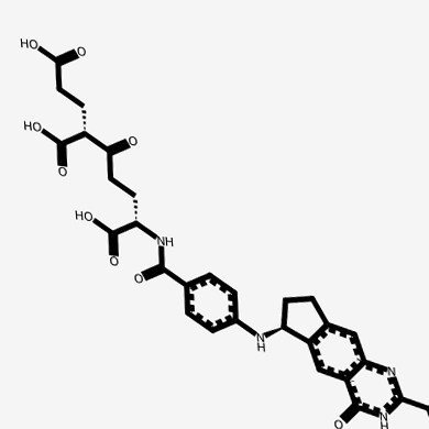 O=C(O)CC[C@@H](C(=O)O)C(=O)CC[C@H](NC(=O)c1ccc(N[C@H]2CCc3cc4nc(CO)[nH]c(=O)c4cc32)cc1)C(=O)O